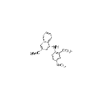 COc1cc(Nc2ccc([N+](=O)[O-])cc2C(=O)O)c2ccccc2c1